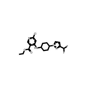 CCOC(=O)c1cnc(Cl)cc1NC1CCC(n2ccc(C(F)F)n2)CC1